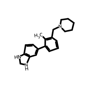 Cc1c(CN2CCCCC2)cccc1-c1ccc2c(c1)NCN2